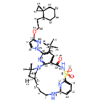 CC1(C)C[C@@H]2CCCNc3cccc(n3)S(=O)(=O)NC(=O)c3cc([Si](C)(C)C)c(-n4ccc(OCCC5CCCCC56CC6)n4)nc3N1C2